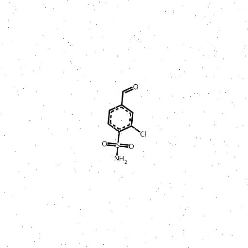 NS(=O)(=O)c1ccc(C=O)cc1Cl